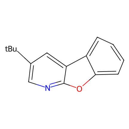 CC(C)(C)c1cnc2oc3ccccc3c2c1